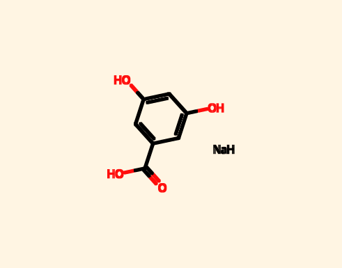 O=C(O)c1cc(O)cc(O)c1.[NaH]